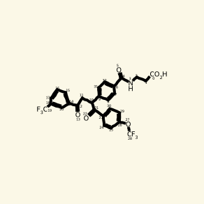 O=C(O)CCNC(=O)c1ccc(C(CC(=O)c2cccc(C(F)(F)F)c2)C(=O)c2ccc(OC(F)(F)F)cc2)cc1